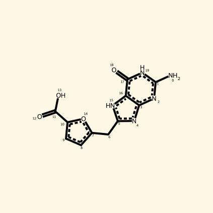 Nc1nc2nc(Cc3ccc(C(=O)O)o3)[nH]c2c(=O)[nH]1